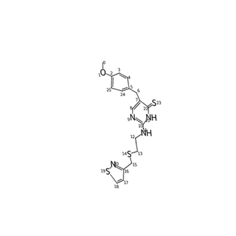 COc1ccc(Cc2cnc(NCCSCc3ccsn3)[nH]c2=S)cc1